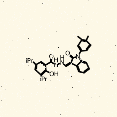 Cc1ccc(N2C(=O)C(=CNNC(=O)c3cc(C(C)C)cc(C(C)C)c3O)c3ccccc32)cc1C